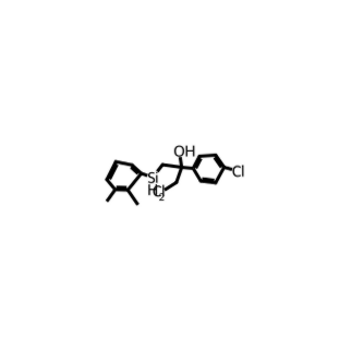 Cc1cccc([SiH2]CC(O)(CCl)c2ccc(Cl)cc2)c1C